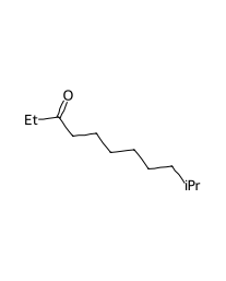 CCC(=O)CCCCCCC(C)C